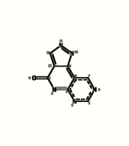 O=C1N=c2ncncc2=C2N=NC=C12